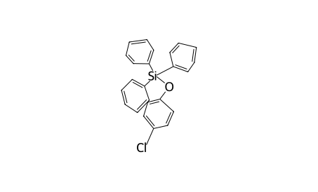 Clc1ccc(O[Si](c2ccccc2)(c2ccccc2)c2ccccc2)cc1